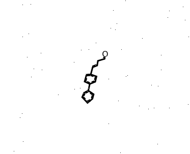 O=CCC=Cc1ccc(-c2ccccc2)cc1